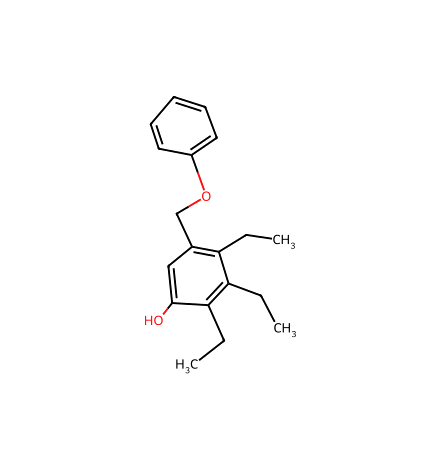 CCc1c(O)cc(COc2ccccc2)c(CC)c1CC